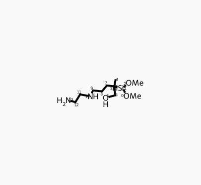 CO[SiH](OC)C(C)(CO)CCCNCCN